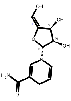 NC(=O)C1=CN([C@@H]2O/C(=C/O)[C@@H](O)[C@H]2O)C=CC1